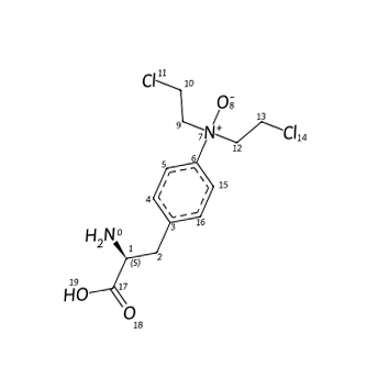 N[C@@H](Cc1ccc([N+]([O-])(CCCl)CCCl)cc1)C(=O)O